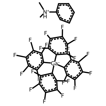 C[NH+](C)c1ccccc1.Fc1c(F)c(F)[c]([Ga-]([c]2c(F)c(F)c(F)c(F)c2F)([c]2c(F)c(F)c(F)c(F)c2F)[c]2c(F)c(F)c(F)c(F)c2F)c(F)c1F